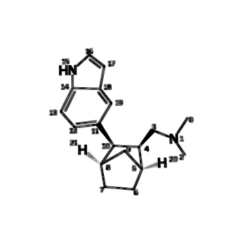 CN(C)C[C@H]1[C@H]2CC[C@H](C2)[C@H]1c1ccc2[nH]ccc2c1